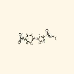 NC(=O)c1cc(-c2ccc([N+](=O)[O-])cc2)cs1